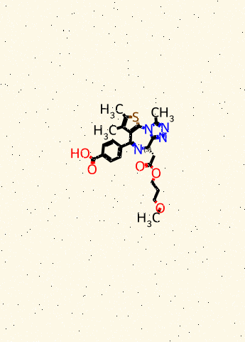 COCCCOC(=O)C[C@@H]1N=C(c2ccc(C(=O)O)cc2)c2c(sc(C)c2C)-n2c(C)nnc21